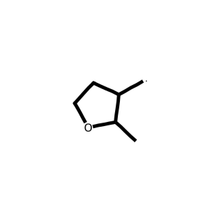 [CH2]C1CCOC1C